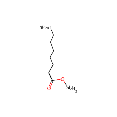 CCCCCCCCCCCC(=O)[O][SbH2]